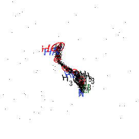 CC1(C)[C@H](NC(=O)c2ccc(OCCCCCOCCCNC(=O)O)cc2)C(C)(C)[C@H]1Oc1ccc(C#N)c(Cl)c1